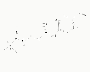 C=Cc1ccc(OC(=O)CCOC(=O)C(C)(C)CC)cc1